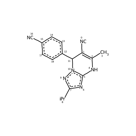 [C-]#[N+]C1=C(C)Nc2nc(C(C)C)nn2C1c1ccc(C#N)cc1